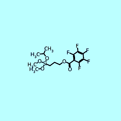 CO[Si](CCCOC(=O)c1c(F)c(F)c(F)c(F)c1F)(OC)OC(C)C